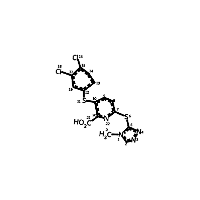 Cn1cnnc1Sc1ccc(Sc2ccc(Cl)c(Cl)c2)c(C(=O)O)n1